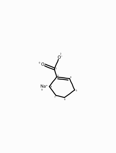 O=C([O-])C1=CCCCC1.[Na+]